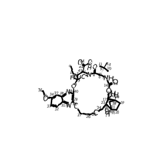 CC[C@@H]1[C@@H]2CN(C(=O)[C@H](C(C)(C)C)NC(=O)O[C@@H]3[C@H]4CC[C@H](C4)[C@H]3CCCCCc3nc4ccc(OC)cc4nc3O2)[C@@H]1C(=O)O